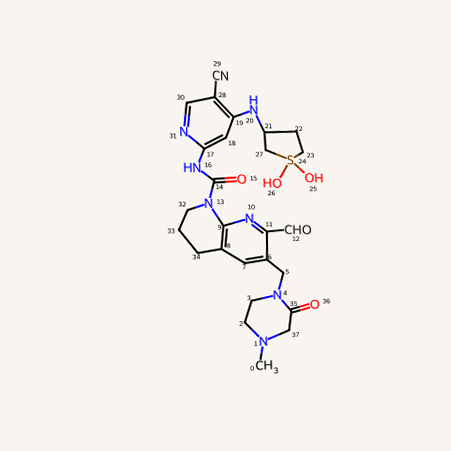 CN1CCN(Cc2cc3c(nc2C=O)N(C(=O)Nc2cc(NC4CCS(O)(O)C4)c(C#N)cn2)CCC3)C(=O)C1